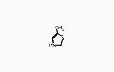 CC1=CN[CH]S1